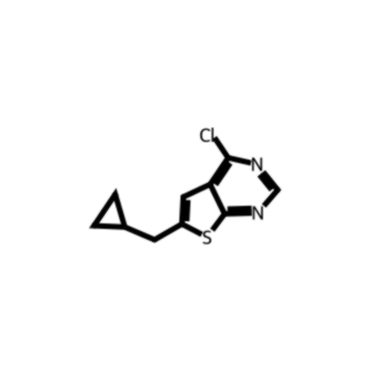 Clc1ncnc2sc(CC3CC3)cc12